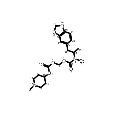 CCN(C(=O)OCOC(=O)OC1CCN(C)CC1)C(C)Cc1ccc2c(c1)OCO2